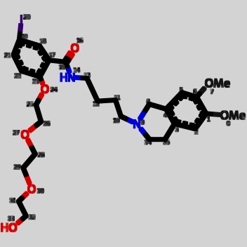 COc1cc2c(cc1OC)CN(CCCCNC(=O)c1cc(I)ccc1OCCOCCOCCO)CC2